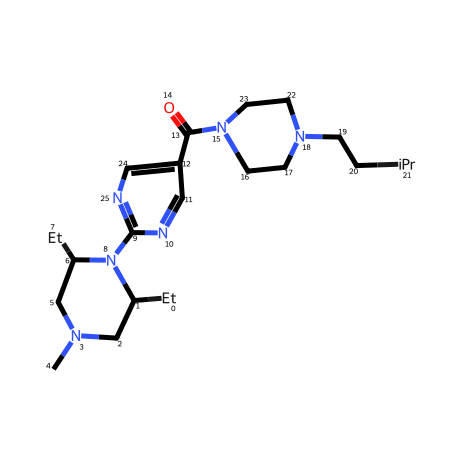 CCC1CN(C)CC(CC)N1c1ncc(C(=O)N2CCN(CCC(C)C)CC2)cn1